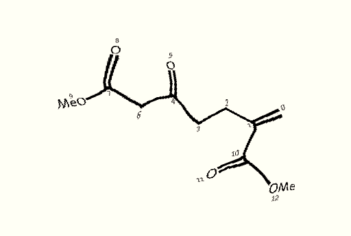 C=C(CCC(=O)CC(=O)OC)C(=O)OC